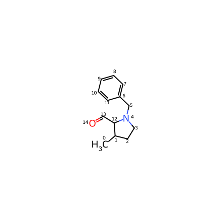 CC1CCN(Cc2ccccc2)C1C=O